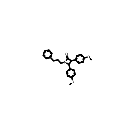 COc1ccc(C2C(=O)N(CCCc3ccccc3)C2c2ccc(OC)cc2)cc1